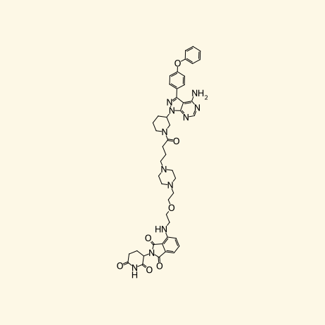 Nc1ncnc2c1c(-c1ccc(Oc3ccccc3)cc1)nn2C1CCCN(C(=O)CCCN2CCN(CCOCCNc3cccc4c3C(=O)N(C3CCC(=O)NC3=O)C4=O)CC2)C1